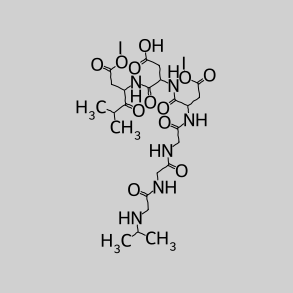 CC(C)NCC(=O)NCC(=O)NCC(=O)NC(CC(=O)OI)C(=O)NC(CC(=O)O)C(=O)NC(CC(=O)OI)C(=O)C(C)C